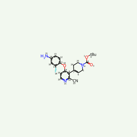 CC(C)(C)OC(=O)N1CC=C(c2c(Oc3ccc(N)cc3F)ccnc2C#N)CC1